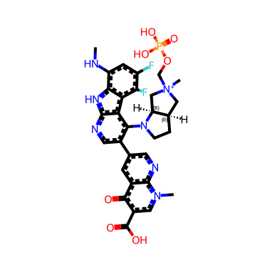 CNc1cc(F)c(F)c2c1[nH]c1ncc(-c3cnc4c(c3)c(=O)c(C(=O)O)cn4C)c(N3CC[C@@H]4C[N+](C)(COP(=O)(O)O)C[C@@H]43)c12